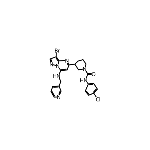 O=C(Nc1ccc(Cl)cc1)N1CCCC(c2cc(NCc3cccnc3)n3ncc(Br)c3n2)C1